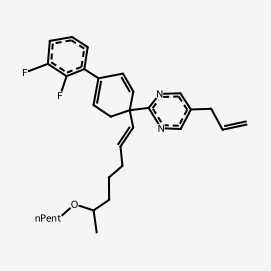 C=CCc1cnc(C2(/C=C/CCCC(C)OCCCCC)C=CC(c3cccc(F)c3F)=CC2)nc1